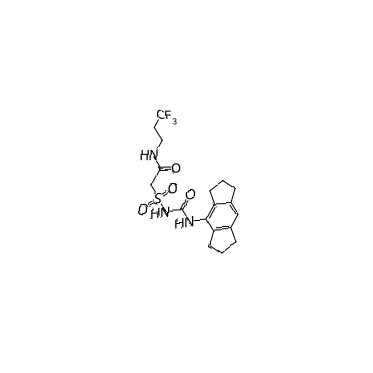 O=C(CS(=O)(=O)NC(=O)Nc1c2c(cc3c1CCC3)CCC2)NCCC(F)(F)F